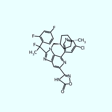 CC(F)(c1ccc(F)cc1F)c1nc2cc(-c3noc(=O)[nH]3)nc(-c3cncc(Cl)c3)c2n1C[C@H]1CC[C@H](C)CC1